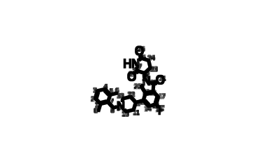 Cc1cccc(C)c1CN1CCC(c2cc(F)cc3c2CN(C2CCC(=O)NC2=O)C3=O)CC1